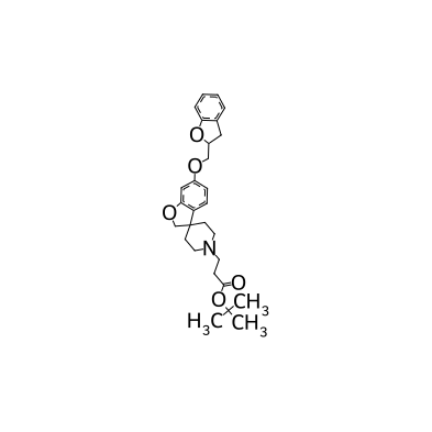 CC(C)(C)OC(=O)CCN1CCC2(CC1)COc1cc(OCC3Cc4ccccc4O3)ccc12